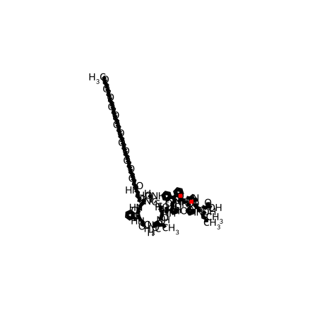 CC[C@H](C)[C@@H]1NC(=O)[C@@H](NC(O)[C@@H]2CCCN2C(=O)[C@@H](NC(=O)[C@H](Cc2cnc[nH]2)NC(=O)[C@@H]2[C@H](O)CCN2C(=O)[C@H](CCC(=O)O)NC(O)CC(C)C)C(c2ccccc2)c2ccccc2)CSSC[C@@H](C(N)O)NC(=O)[C@@H](CCCCNC(=O)CCOCCOCCOCCOCCOCCOCCOCCOCCOCCOCCOCCOC)NC(=O)C[C@H](Cc2ccccc2)NC(=O)CNC1=O